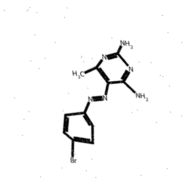 Cc1nc(N)nc(N)c1N=Nc1ccc(Br)cc1